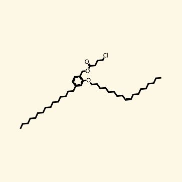 CCCCCCCC/C=C\CCCCCCCCOc1cc(CCCCCCCCCCCCCCC)ccc1COC(=O)CCCCl